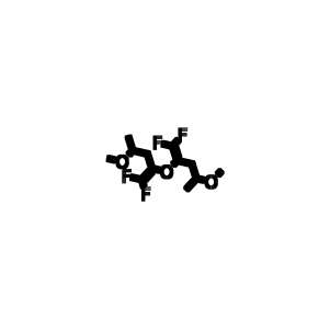 COC(C)CC(OC(CC(C)OC)=C(F)F)=C(F)F